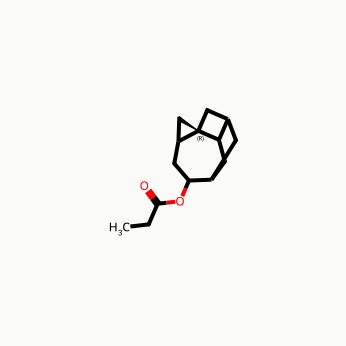 CCC(=O)OC1CC2C[C@]23CC2CC1CC23